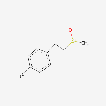 Cc1ccc(CC[S+](C)[O-])cc1